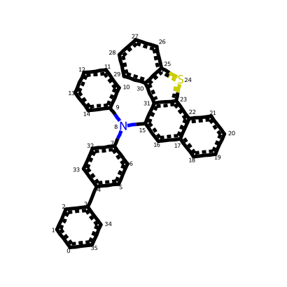 c1ccc(-c2ccc(N(c3ccccc3)c3cc4ccccc4c4sc5ccccc5c34)cc2)cc1